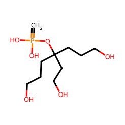 C=P(O)(O)OC(CCO)(CCCO)CCCO